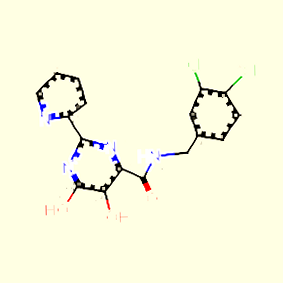 O=C(NCc1ccc(Cl)c(Cl)c1)c1nc(-c2ccccn2)nc(O)c1O